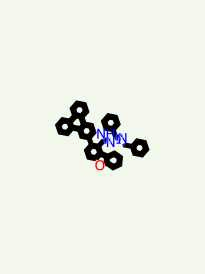 N/C(=N\C(=N/Cc1ccccc1)c1ccccc1)c1c(-c2ccc3c4ccccc4c4ccccc4c3c2)ccc2oc3ccccc3c12